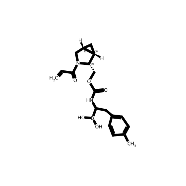 C=CC(=O)N1C[C@@H]2C[C@@H]2[C@@H]1COC(=O)NC(Cc1ccc(C)cc1)B(O)O